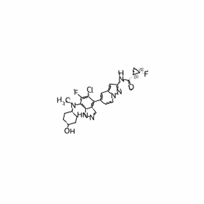 CN(c1c(F)c(Cl)c(-c2ccn3nc(NC(=O)[C@@H]4C[C@@H]4F)cc3c2)c2cn[nH]c12)C1CCC(O)CC1